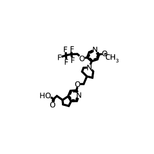 COc1cc(N2CCC(COc3cc4c(cn3)CCC4CC(=O)O)CC2)c(OCC(F)(F)C(F)(F)F)cn1